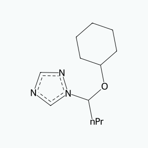 CCCC(OC1CCCCC1)n1cncn1